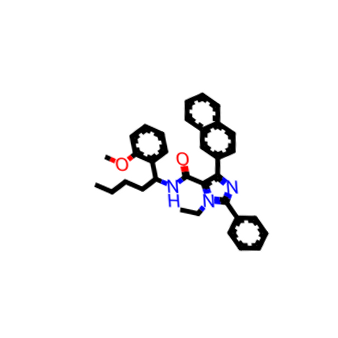 CCCCC(NC(=O)c1c(-c2ccc3ccccc3c2)nc(-c2ccccc2)n1CC)c1ccccc1OC